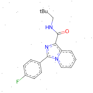 CC(C)(C)CNC(=O)c1nc(-c2ccc(F)cc2)n2ccccc12